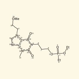 CCOP(=O)(CC)OCCCn1c(=O)c2c(ncn2CCOC)n(C)c1=O